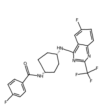 O=C(N[C@H]1CC[C@@H](Nc2nc(C(F)(F)F)nc3ccc(F)cc23)CC1)c1ccc(F)cc1